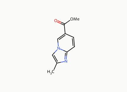 COC(=O)c1ccc2nc(C)cn2c1